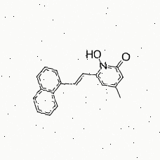 Cc1cc(C=Cc2cccc3ccccc23)n(O)c(=O)c1